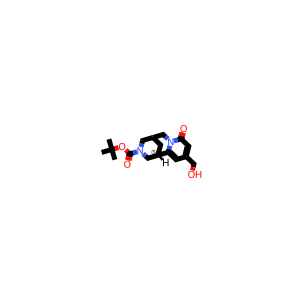 CC(C)(C)OC(=O)N1CC2C[C@@H](C1)c1cc(CO)cc(=O)n1C2